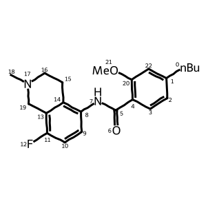 CCCCc1ccc(C(=O)Nc2ccc(F)c3c2CCN(C)C3)c(OC)c1